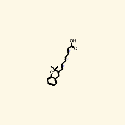 CC1(C)Oc2ccccc2C=C1/C=C/C=C/C=C/C(=O)O